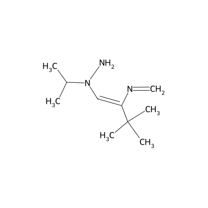 C=N/C(=C\N(N)C(C)C)C(C)(C)C